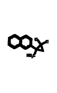 O=C(O)C1(c2ccc3ccccc3c2)CC1(Cl)Cl